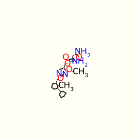 CCOc1nc(OCc2cccc(-c3ccccc3)c2C)ncc1COC(=O)[C@@H](N)CC(N)=O